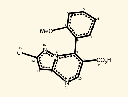 COc1ccccc1-c1c(C(=O)O)cnc2cc(Cl)nn12